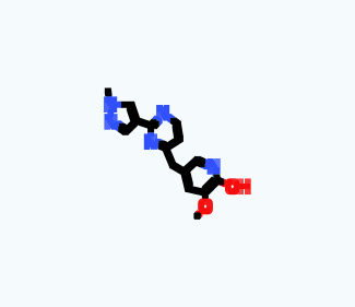 COc1cc(Cc2ccnc(-c3cnn(C)c3)n2)cnc1O